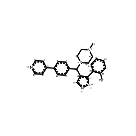 CN1CCN(C(c2ccc(-c3ccncc3)cc2)c2cn[nH]c2-c2ccccc2F)CC1